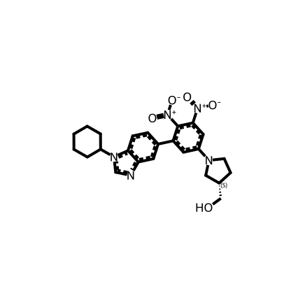 O=[N+]([O-])c1cc(N2CC[C@H](CO)C2)cc(-c2ccc3c(c2)ncn3C2CCCCC2)c1[N+](=O)[O-]